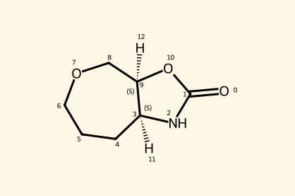 O=C1N[C@H]2CCCOC[C@H]2O1